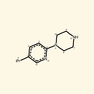 CC(C)c1ccc(N2CCNCC2)nc1